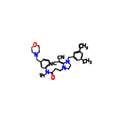 Cc1cc(C)cc(CN2CCN(CCC(=O)N(c3cccc(CN4CCOCC4)c3)C(C)C)C2=C(C#N)C#N)c1